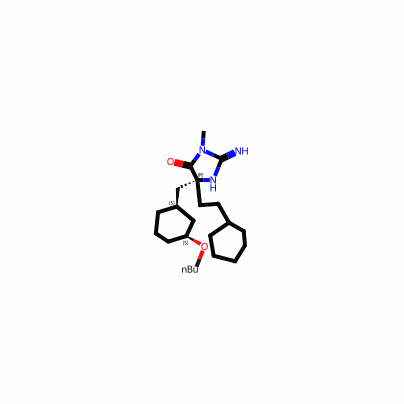 CCCCO[C@H]1CCC[C@@H](C[C@@]2(CCC3CCCCC3)NC(=N)N(C)C2=O)C1